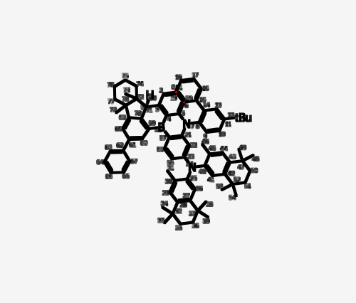 Cc1cc2c3c(c1)N(c1ccc(C(C)(C)C)cc1-c1ccccc1)c1cc(N(c4cc5c(cc4C)C(C)(C)CCC5(C)C)c4cc5c(cc4C)C(C)(C)CCC5(C)C)ccc1B3c1cc(-c3ccccc3)cc3c1[C@@H]2C1(C)CCCCC31C